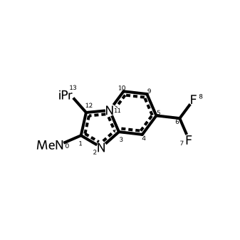 CNc1nc2cc(C(F)F)ccn2c1C(C)C